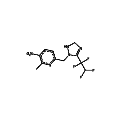 Cc1nc(CN2NCN=C2C(F)(F)C(F)F)ccc1[N+](=O)[O-]